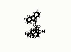 O=C(OCC1c2ccccc2-c2ccccc21)N1C[C@H](C(F)F)[C@H]2OC[C@H](O)[C@H]21